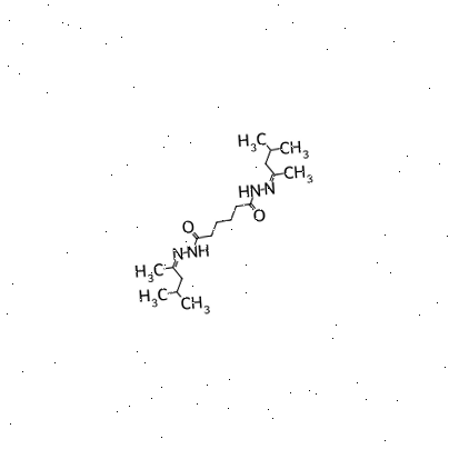 C/C(CC(C)C)=N/NC(=O)CCCCC(=O)N/N=C(/C)CC(C)C